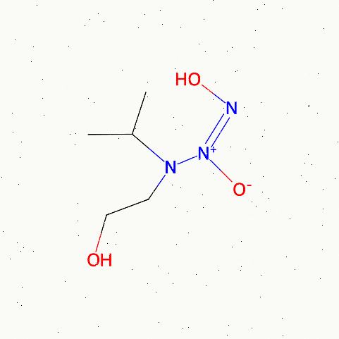 CC(C)N(CCO)/[N+]([O-])=N\O